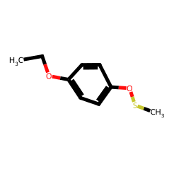 CCOc1ccc(OSC)cc1